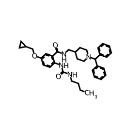 CCCCNC(=O)Nc1ccc(OCC2CC2)cc1C(=O)NCC1CCN(C(c2ccccc2)c2ccccc2)CC1